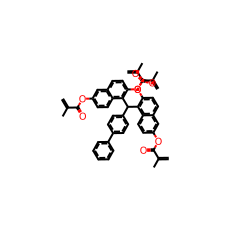 C=C(C)C(=O)Oc1ccc2c(C(c3ccc(-c4ccccc4)cc3)c3c(OC(=O)C(=C)C)ccc4cc(OC(=O)C(=C)C)ccc34)c(OC(=O)C(=C)C)ccc2c1